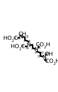 CN(CCCN(CCN(CCCN(O)CC(=O)O)CC(=O)O)CC(=O)O)CC(=O)O